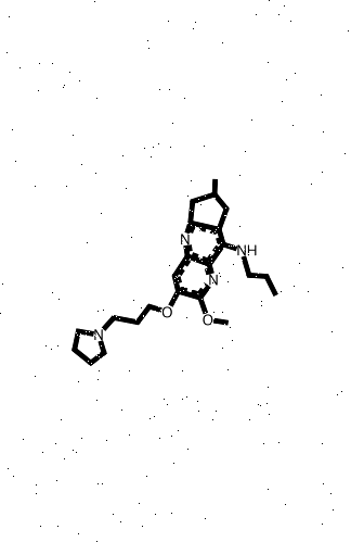 CCCNc1c2c(nc3cc(OCCCN4CCCC4)c(OC)nc13)CC(C)C2